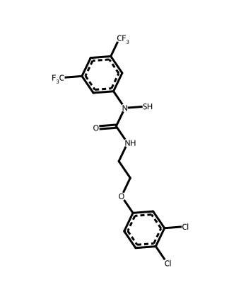 O=C(NCCOc1ccc(Cl)c(Cl)c1)N(S)c1cc(C(F)(F)F)cc(C(F)(F)F)c1